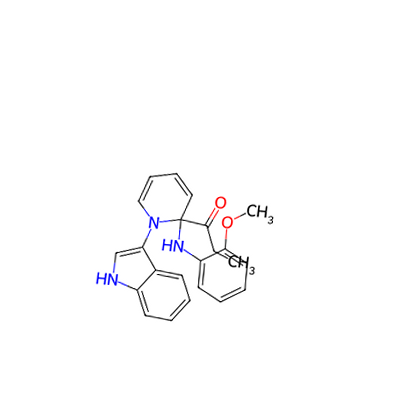 CCC(=O)C1(Nc2ccccc2OC)C=CC=CN1c1c[nH]c2ccccc12